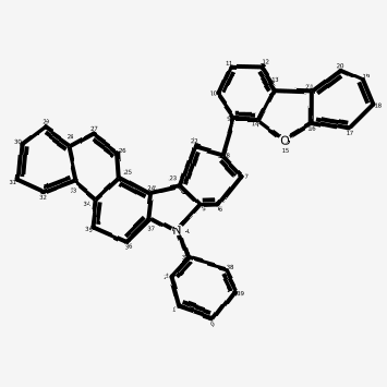 c1ccc(-n2c3ccc(-c4cccc5c4oc4ccccc45)cc3c3c4ccc5ccccc5c4ccc32)cc1